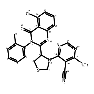 Cc1ccccc1-n1c(C2CSCN2c2ncnc(N)c2C#N)nc2cccc(Cl)c2c1=O